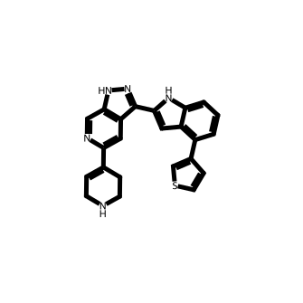 C1=C(c2cc3c(-c4cc5c(-c6ccsc6)cccc5[nH]4)n[nH]c3cn2)CCNC1